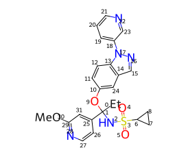 CCC(NS(=O)(=O)C1CC1)(Oc1ccc2c(cnn2-c2cccnc2)c1)c1ccnc(OC)c1